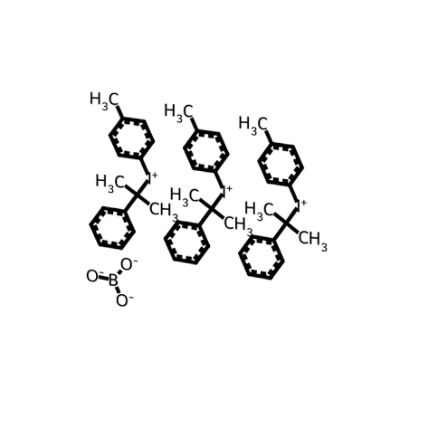 Cc1ccc([I+]C(C)(C)c2ccccc2)cc1.Cc1ccc([I+]C(C)(C)c2ccccc2)cc1.Cc1ccc([I+]C(C)(C)c2ccccc2)cc1.[O-]B([O-])[O-]